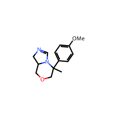 COc1ccc(C2(C)COCC3CN=CN32)cc1